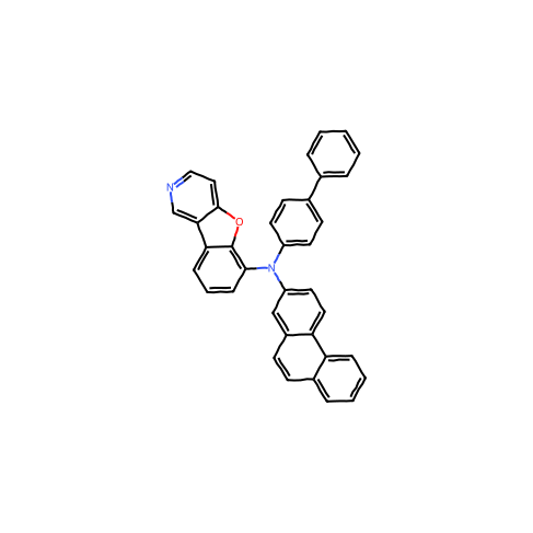 c1ccc(-c2ccc(N(c3ccc4c(ccc5ccccc54)c3)c3cccc4c3oc3ccncc34)cc2)cc1